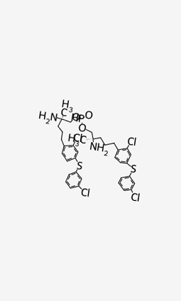 C[C@@](N)(CCCc1ccc(Sc2cccc(Cl)c2)cc1Cl)CO[PH](=O)OC[C@](C)(N)CCCc1ccc(Sc2cccc(Cl)c2)cc1Cl